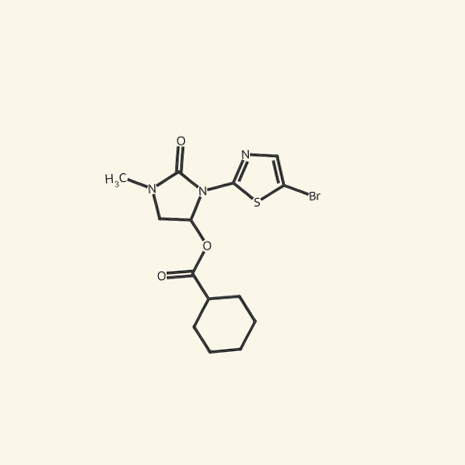 CN1CC(OC(=O)C2CCCCC2)N(c2ncc(Br)s2)C1=O